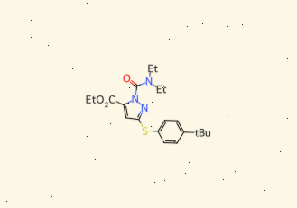 CCOC(=O)c1cc(Sc2ccc(C(C)(C)C)cc2)nn1C(=O)N(CC)CC